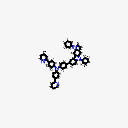 c1ccc(-n2ccc3cc4c(cc32)c2cc(-c3ccc(N(c5ccc(-c6ccccn6)cc5)c5ccc(-c6ccccn6)cc5)cc3)ccc2n4-c2ccccc2)cc1